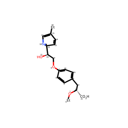 CCO[C@H](Cc1ccc(OC[C@@H](O)c2ccc(CC)cn2)cc1)C(=O)O